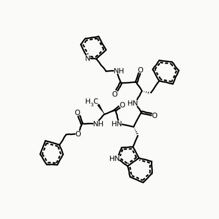 C[C@H](NC(=O)OCc1ccccc1)C(=O)N[C@@H](Cc1c[nH]c2ccccc12)C(=O)N[C@@H](Cc1ccccc1)C(=O)C(=O)NCc1ccccn1